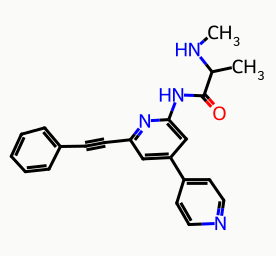 CNC(C)C(=O)Nc1cc(-c2ccncc2)cc(C#Cc2ccccc2)n1